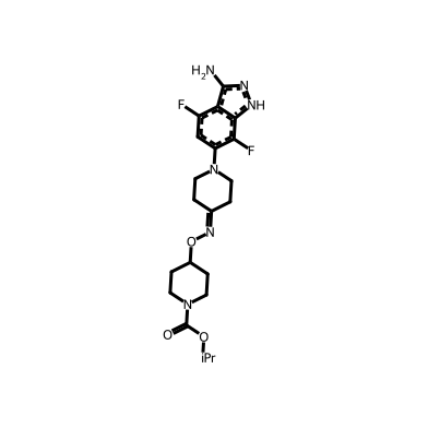 CC(C)OC(=O)N1CCC(ON=C2CCN(c3cc(F)c4c(N)n[nH]c4c3F)CC2)CC1